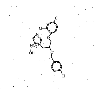 Clc1ccc(COC(COc2ccc(Cl)cc2Cl)Cn2ccnc2)cc1.O=[N+]([O-])O